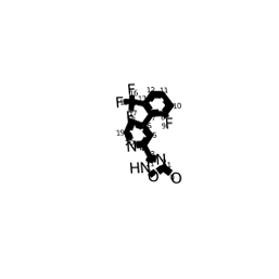 O=c1nc(-c2cc(-c3c(F)cccc3C(F)(F)F)ccn2)[nH]o1